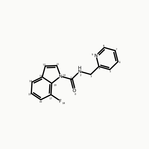 O=C(NCc1ccccn1)n1ccc2cccc(F)c21